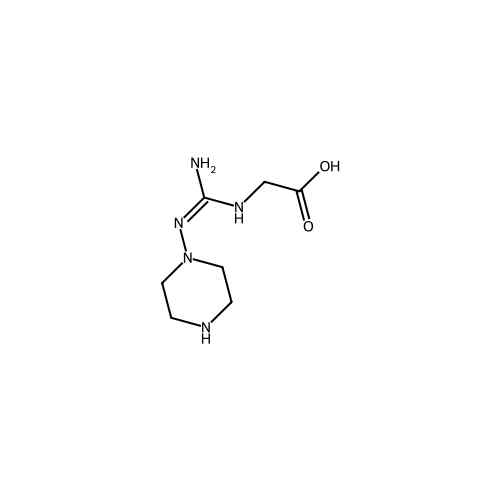 NC(=NN1CCNCC1)NCC(=O)O